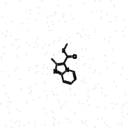 CSC(=O)c1c(C)nc2ccccn12